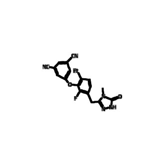 CCc1ccc(Cc2n[nH]c(=O)n2C)c(F)c1Oc1cc(C#N)cc(C#N)c1